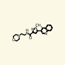 Cn1nc(C(=O)NCCN2CCOCC2)cc1-c1cnc2ccccc2c1